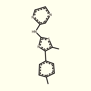 Cc1ccc(-c2nc(Nc3cnccn3)sc2C)cc1